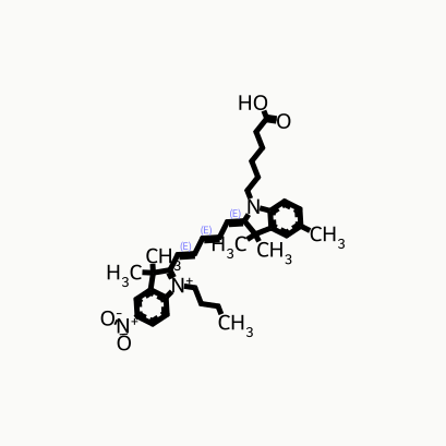 CCCC[N+]1=C(/C=C/C=C/C=C2/N(CCCCCC(=O)O)c3ccc(C)cc3C2(C)C)C(C)(C)c2cc([N+](=O)[O-])ccc21